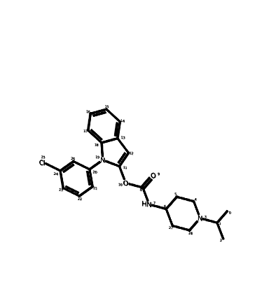 CC(C)N1CCC(NC(=O)Oc2cc3ccccc3n2-c2cccc(Cl)c2)CC1